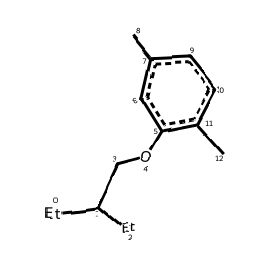 CCC(CC)COc1cc(C)ccc1C